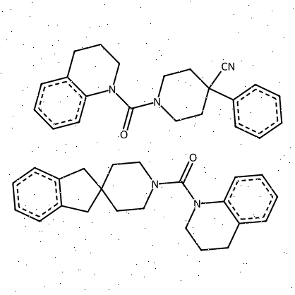 N#CC1(c2ccccc2)CCN(C(=O)N2CCCc3ccccc32)CC1.O=C(N1CCC2(CC1)Cc1ccccc1C2)N1CCCc2ccccc21